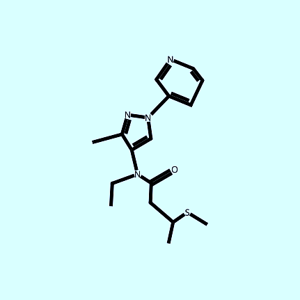 CCN(C(=O)CC(C)SC)c1cn(-c2cccnc2)nc1C